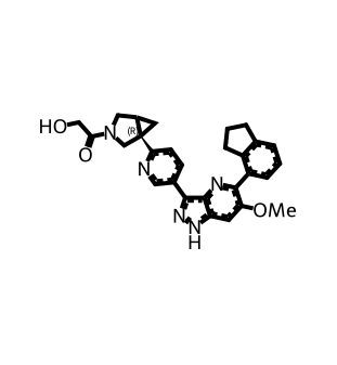 COc1cc2[nH]nc(-c3ccc([C@]45CC4CN(C(=O)CO)C5)nc3)c2nc1-c1cccc2c1CCC2